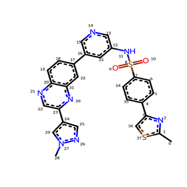 Cc1nc(-c2ccc(S(=O)(=O)Nc3cncc(-c4ccc5ncc(-c6cnn(C)c6)nc5c4)c3)cc2)cs1